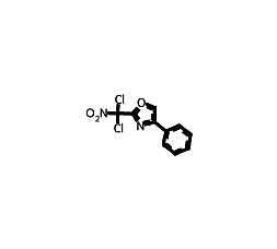 O=[N+]([O-])C(Cl)(Cl)c1nc(-c2ccccc2)co1